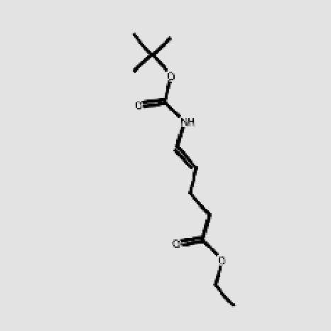 CCOC(=O)CCC=CNC(=O)OC(C)(C)C